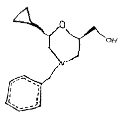 OC[C@H]1CN(Cc2ccccc2)C[C@@H](C2CC2)O1